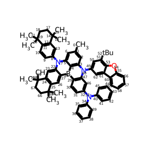 Cc1cc2c3c(c1)N(c1ccc4c(c1)C(C)(C)CCC4(C)C)c1cc4c(cc1B3c1ccc(N(c3ccccc3)c3ccccc3)cc1N2c1cc(C(C)(C)C)c2oc3ccccc3c2c1)C(C)(C)CCC4(C)C